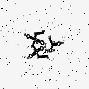 C=CS(=O)(=O)CS(=O)(=O)C=C.CC(=O)O